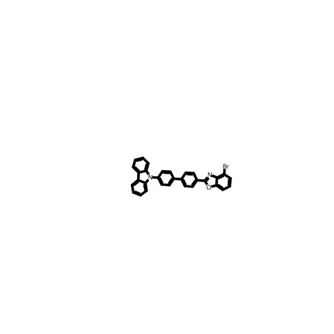 Brc1cccc2oc(-c3ccc(-c4ccc(-n5c6ccccc6c6ccccc65)cc4)cc3)nc12